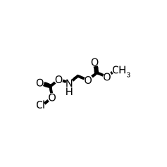 COC(=O)OCNOC(=O)OCl